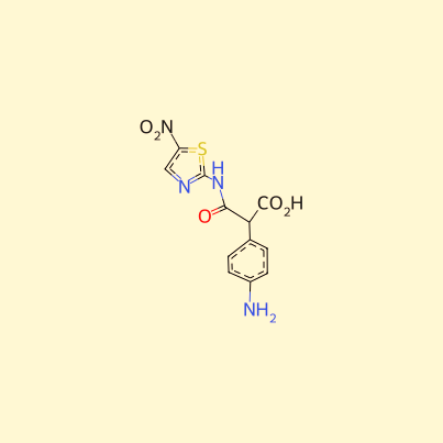 Nc1ccc(C(C(=O)O)C(=O)Nc2ncc([N+](=O)[O-])s2)cc1